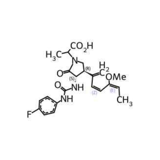 C=C(/C=C\C(=C/C)OC)[C@@H]1CN(C(C)C(=O)O)C(=O)[C@H]1NC(=O)Nc1ccc(F)cc1